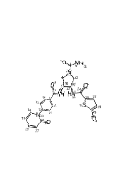 NC(=O)N1C[C@H](NC(=O)c2ccc(-n3ccccc3=O)cc2)[C@H](NC(=O)c2ccc(Cl)s2)C1